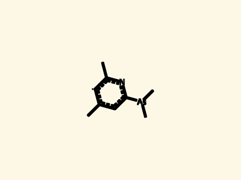 Cc1[c]c(C)nc([As](C)C)c1